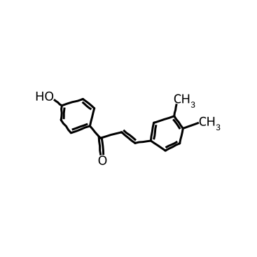 Cc1ccc(/C=C/C(=O)c2ccc(O)cc2)cc1C